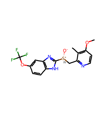 COc1ccnc(C[S@@+]([O-])c2nc3cc(OC(F)(F)F)ccc3[nH]2)c1C